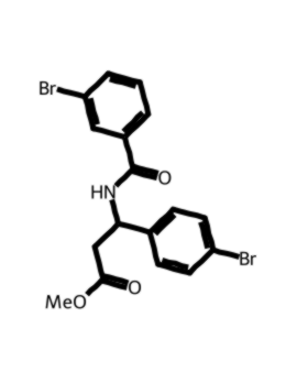 COC(=O)CC(NC(=O)c1cccc(Br)c1)c1ccc(Br)cc1